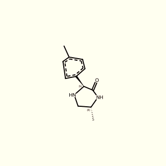 Cc1ccc([C@@H]2NC[C@@H](C)NC2=O)cc1